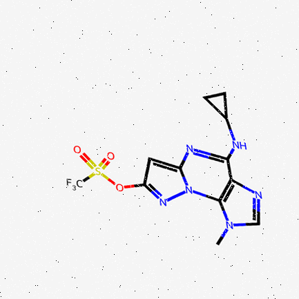 Cn1cnc2c(NC3CC3)nc3cc(OS(=O)(=O)C(F)(F)F)nn3c21